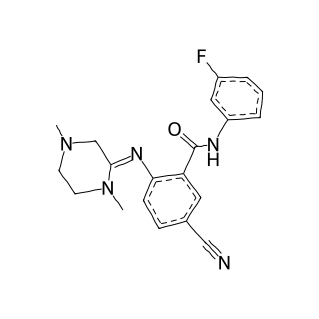 CN1CCN(C)/C(=N\c2ccc(C#N)cc2C(=O)Nc2cccc(F)c2)C1